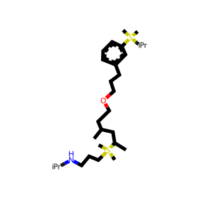 CC(CCOCCCc1cccc(S(C)(C)C(C)C)c1)CC(C)S(C)(C)CCCNC(C)C